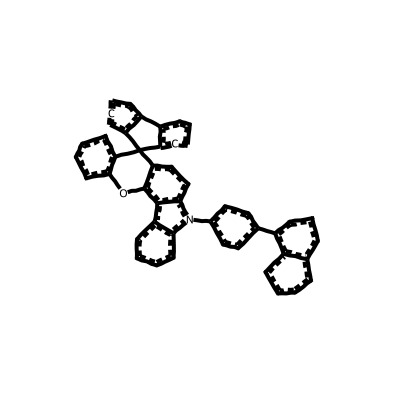 c1ccc2c(c1)Oc1c(ccc3c1c1ccccc1n3-c1ccc(-c3cccc4ccccc34)cc1)C21c2ccccc2-c2ccccc21